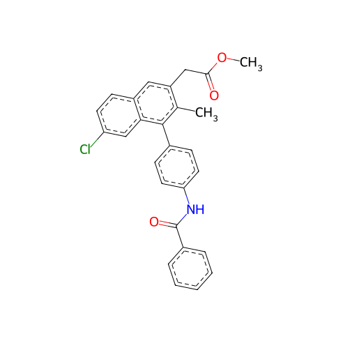 COC(=O)Cc1cc2ccc(Cl)cc2c(-c2ccc(NC(=O)c3ccccc3)cc2)c1C